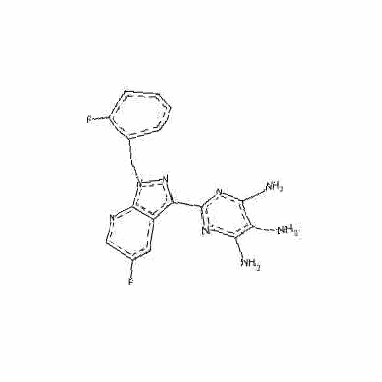 Nc1nc(-c2nn(Cc3ccccc3F)c3ncc(F)cc23)nc(N)c1N